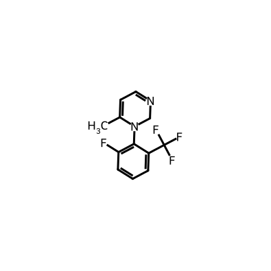 CC1=CC=NCN1c1c(F)cccc1C(F)(F)F